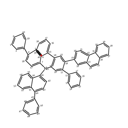 c1ccc(-c2ccc(N(c3cc(-c4ccccc4)c(-c4ccc5c(ccc6ccccc65)c4)cc3-c3ccccc3)c3ccc(-c4ccccc4)c4ccccc34)cc2)cc1